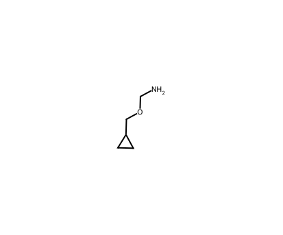 NCOCC1CC1